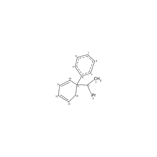 CC(C)C(C)C1(c2ccccc2)C=CC=CC1